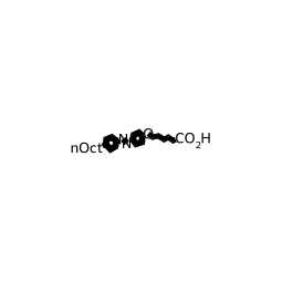 CCCCCCCCc1ccc(/N=N/c2ccc(OCCCCCC(=O)O)cc2)cc1